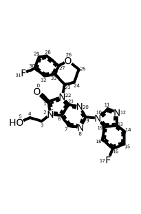 O=c1n(CCO)c2cnc(-n3cnc4ccc(F)cc43)nc2n1C1CCOc2ccc(F)cc21